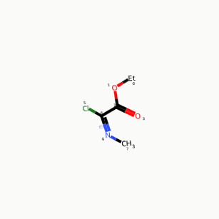 CCOC(=O)/C(Cl)=N\C